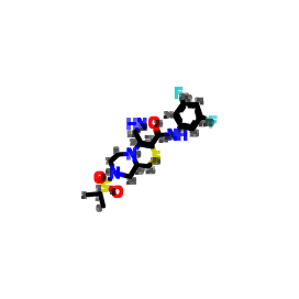 CC(C)S(=O)(=O)N1CCN2C(C=N)=C(C(=O)Nc3cc(F)cc(F)c3)SCC2C1